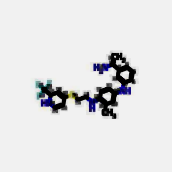 C=C(N)c1cccc(Nc2ccc(NCCSC3=CC(C(F)(F)F)NC=C3)c(C)c2)c1